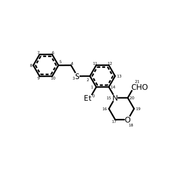 CCc1c(SCc2ccccc2)cccc1N1CCOCC1C=O